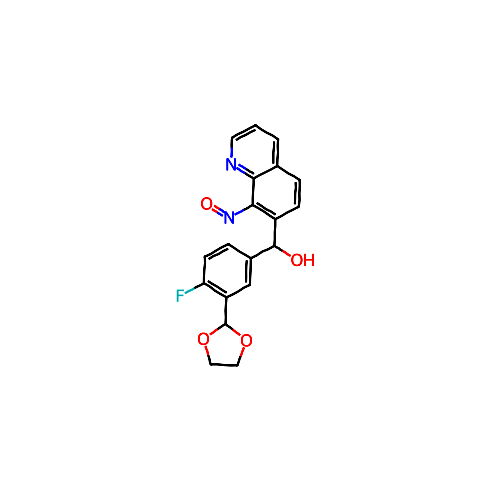 O=Nc1c(C(O)c2ccc(F)c(C3OCCO3)c2)ccc2cccnc12